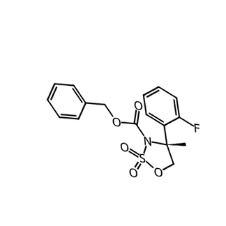 C[C@@]1(c2ccccc2F)COS(=O)(=O)N1C(=O)OCc1ccccc1